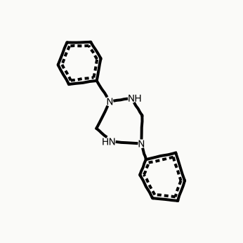 c1ccc(N2CNN(c3ccccc3)CN2)cc1